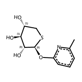 Cc1cccc(O[C@@H]2SC[C@@H](O)[C@H](O)[C@H]2O)n1